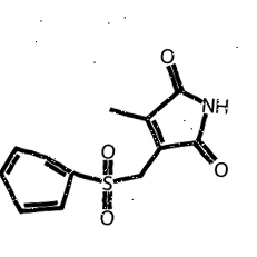 CC1=C(CS(=O)(=O)c2ccccc2)C(=O)NC1=O